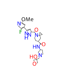 COc1cc(-c2cc(C(=O)N3CC[C@H](C(=O)N[C@H]4CCN(CC5(O)COC5)C4)CC34CC4)n[nH]2)c(F)cn1